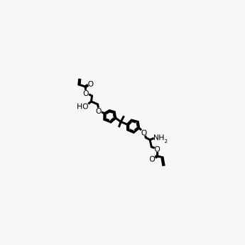 C=CC(=O)OCC(N)COc1ccc(C(C)(C)c2ccc(OCC(O)COC(=O)C=C)cc2)cc1